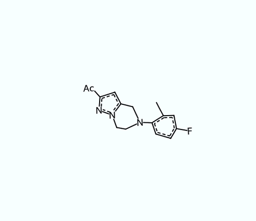 CC(=O)c1cc2n(n1)CCN(c1ccc(F)cc1C)C2